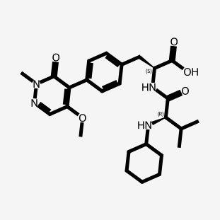 COc1cnn(C)c(=O)c1-c1ccc(C[C@H](NC(=O)[C@H](NC2CCCCC2)C(C)C)C(=O)O)cc1